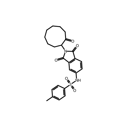 Cc1ccc(S(=O)(=O)Nc2ccc3c(c2)C(=O)N(C2CCCCCCCC2=O)C3=O)cc1